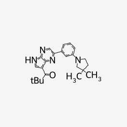 CC1(C)CCN(c2cccc(-c3cnc4[nH]cc(C(=O)C(C)(C)C)c4n3)c2)C1